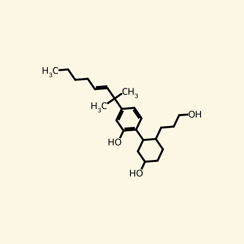 CCCC/C=C/C(C)(C)c1ccc(C2CC(O)CCC2CCCO)c(O)c1